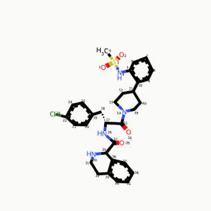 CS(=O)(=O)Nc1ccccc1C1CCN(C(=O)[C@@H](Cc2ccc(Cl)cc2)NC(=O)C2N[CH]Cc3ccccc32)CC1